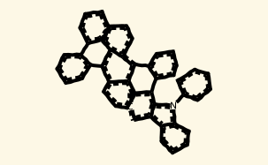 c1ccc(-c2ccccc2-c2c3ccccc3c(-c3ccccc3-c3cccc4c5ccccc5n(-c5ccccc5)c34)c3ccccc23)cc1